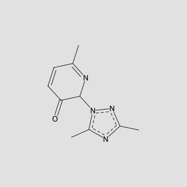 CC1=NC(n2nc(C)nc2C)C(=O)C=C1